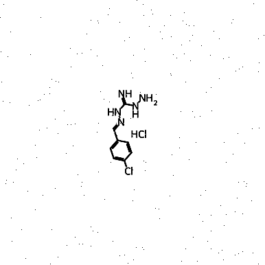 Cl.N=C(NN)NN=Cc1ccc(Cl)cc1